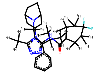 [2H]C([2H])([2H])c1nnc(C([2H])(C([2H])([2H])[2H])C([2H])([2H])[2H])n1C1CC2CCC(C1)N2C([2H])([2H])CC(NC(=O)C1C([2H])([2H])C([2H])([2H])C(F)(F)C([2H])([2H])C1([2H])[2H])c1ccccc1